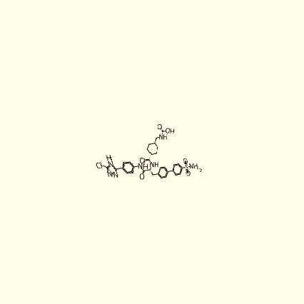 NS(=O)(=O)c1ccc(-c2ccc(C[C@H](NC(=O)[C@H]3CC[C@H](CNC(=O)O)CC3)C(=O)Nc3ccc(-c4nnc(Cl)[nH]4)cc3)cc2)cc1